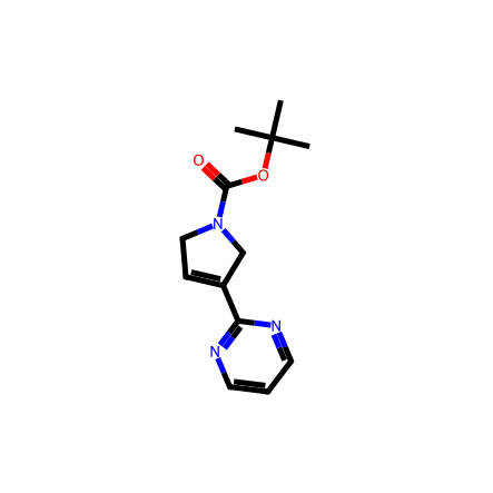 CC(C)(C)OC(=O)N1CC=C(c2ncccn2)C1